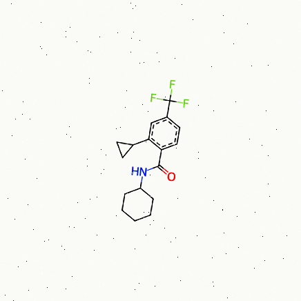 O=C(NC1CCCCC1)c1ccc(C(F)(F)F)cc1C1CC1